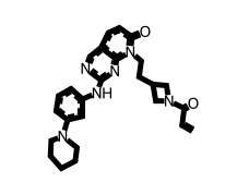 C=CC(=O)N1CC(CCn2c(=O)ccc3cnc(Nc4cccc(N5CCCCC5)c4)nc32)C1